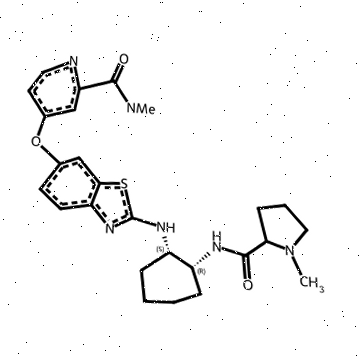 CNC(=O)c1cc(Oc2ccc3nc(N[C@H]4CCCC[C@H]4NC(=O)C4CCCN4C)sc3c2)ccn1